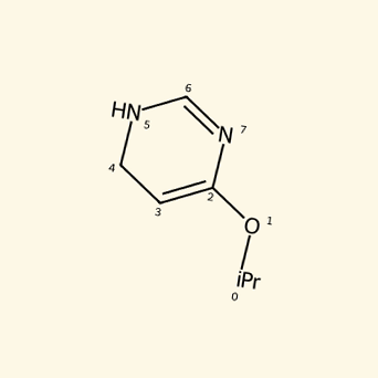 CC(C)OC1=CCNC=N1